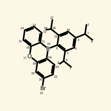 CC(C)c1cc(C(C)C)c(B2c3ccccc3Oc3cc(Br)ccc32)c(C(C)C)c1